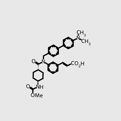 COC(=O)N[C@H]1CC[C@H](C(=O)N(Cc2ccc(-c3ccc(N(C)C)cc3)cc2)c2cccc(C=CC(=O)O)c2)CC1